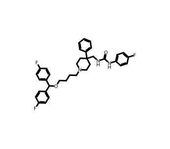 O=C(NCC1(c2ccccc2)CCN(CCCCOC(c2ccc(F)cc2)c2ccc(F)cc2)CC1)Nc1ccc(F)cc1